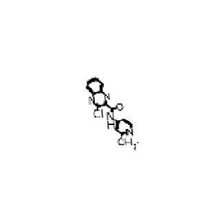 [CH2]c1cc(NC(=O)c2nc3ccccc3nc2Cl)ccn1